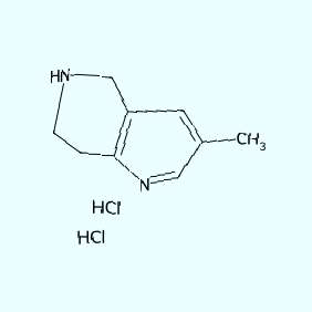 Cc1cnc2c(c1)CNCC2.Cl.Cl